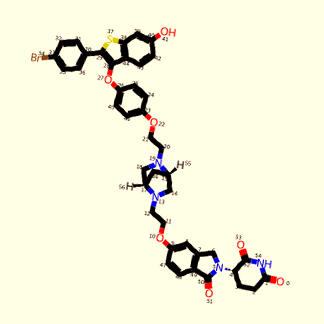 O=C1CC[C@H](N2Cc3cc(OCCN4C[C@@H]5C[C@H]4CN5CCOc4ccc(Oc5c(-c6ccc(Br)cc6)sc6cc(O)ccc56)cc4)ccc3C2=O)C(=O)N1